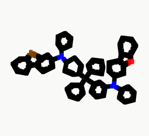 C1=CC(N(c2ccccc2)c2ccc3c(c2)sc2ccccc23)CC=C1[Si](c1ccccc1)(c1ccccc1)c1cccc(N(c2ccccc2)c2ccc3c(c2)oc2ccccc23)c1